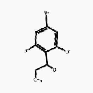 CCC([O])c1c(Br)cc(Br)cc1Br